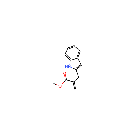 C=C(Cc1cc2ccccc2[nH]1)C(=O)OC